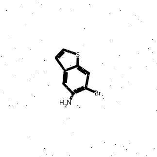 Nc1cc2ccsc2cc1Br